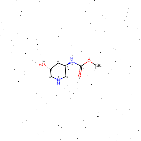 CC(C)(C)OC(=O)N[C@H]1CNC[C@H](O)C1